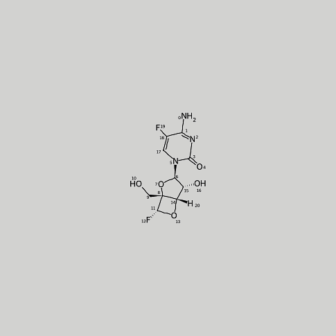 Nc1nc(=O)n([C@@H]2O[C@@]3(CO)[C@@H](F)O[C@H]3[C@H]2O)cc1F